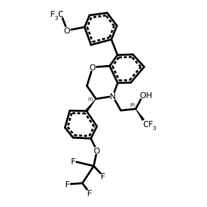 O[C@H](CN1c2cccc(-c3cccc(OC(F)(F)F)c3)c2OC[C@@H]1c1cccc(OC(F)(F)C(F)F)c1)C(F)(F)F